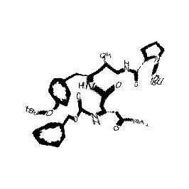 CC(C)(C)Oc1ccc(C[C@H](NC(=O)[C@H](CC(N)=O)NC(=O)OCc2ccccc2)[C@H](O)CNC(=O)[C@@H]2CCCN2C(C)(C)C)cc1